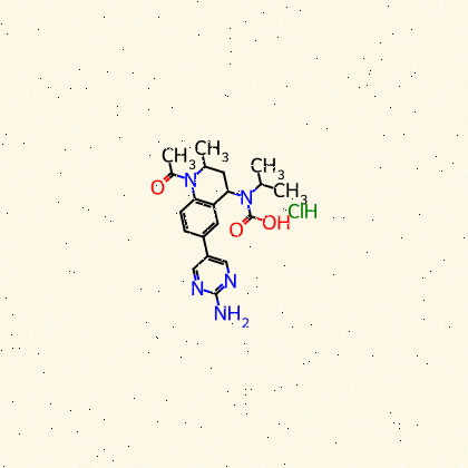 CC(=O)N1c2ccc(-c3cnc(N)nc3)cc2C(N(C(=O)O)C(C)C)CC1C.Cl